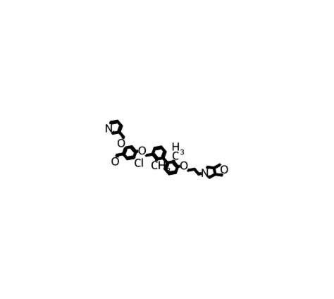 Cc1c(COc2cc(OCc3cccnc3)c(C=O)cc2Cl)cccc1-c1cccc(OCCCN2CC3COCC3C2)c1C